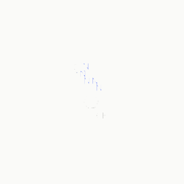 FC(F)(F)c1ccc2c(c1)N=NN(n1cccn1)C2